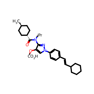 CC(C)N(c1nn(-c2ccc(/C=C/C3CCCCC3)cc2)cc1OC(=O)O)C(=O)[C@H]1CC[C@H](C)CC1